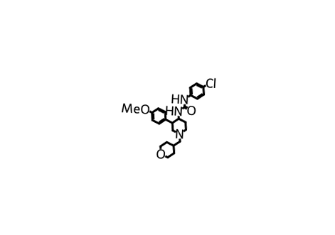 COc1ccc(C2CN(CC3CCOCC3)CCC2NC(=O)Nc2ccc(Cl)cc2)cc1